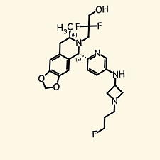 C[C@@H]1Cc2cc3c(cc2[C@@H](c2ccc(NC4CN(CCCF)C4)cn2)N1CC(F)(F)CO)OCO3